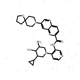 NC1CN(c2ccncc2NC(=O)c2ccc3ncc(N4CCC5(CCCO5)CC4)cc3n2)CC(C2CC2)C1O